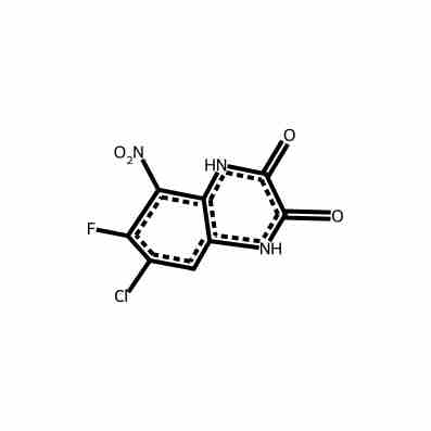 O=c1[nH]c2cc(Cl)c(F)c([N+](=O)[O-])c2[nH]c1=O